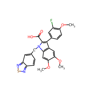 COc1ccc(-c2c(C(=O)O)n(Cc3ccc4nsnc4c3)c3cc(OC)c(OC)cc23)cc1F